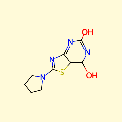 Oc1nc(O)c2sc(N3CCCC3)nc2n1